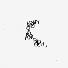 CC(C)NC(=O)O[C@@H]1CC[C@H](c2cnc3[nH]c(C4CCN(S(C)(=O)=O)CC4)cc3c2)C1